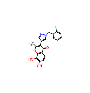 O=c1c(-c2cnn(Cc3ccccc3F)c2)c(C(F)(F)F)oc2c(O)c(O)ccc12